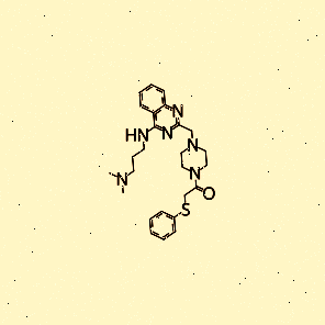 CN(C)CCCNc1nc(CN2CCN(C(=O)CSc3ccccc3)CC2)nc2ccccc12